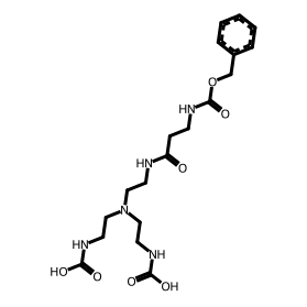 O=C(O)NCCN(CCNC(=O)O)CCNC(=O)CCNC(=O)OCc1ccccc1